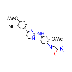 COc1ccc(-c2ccnc(Nc3ccc(N(C)CC(=O)N(C)C)c(OC)c3)n2)cc1C#N